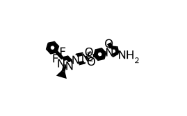 NC1CC(=O)N(c2ccc(S(=O)(=O)N3CCN(c4cc(C(F)(F)c5ccccc5)nc(C5CC5)n4)CC3)cc2)C1